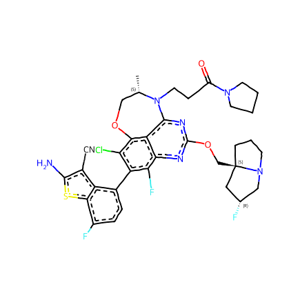 C[C@H]1COc2c(Cl)c(-c3ccc(F)c4sc(N)c(C#N)c34)c(F)c3nc(OC[C@@]45CCCN4C[C@H](F)C5)nc(c23)N1CCC(=O)N1CCCC1